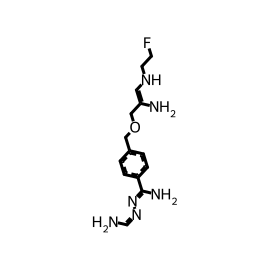 N/C=N\N=C(/N)c1ccc(COC/C(N)=C/NCCF)cc1